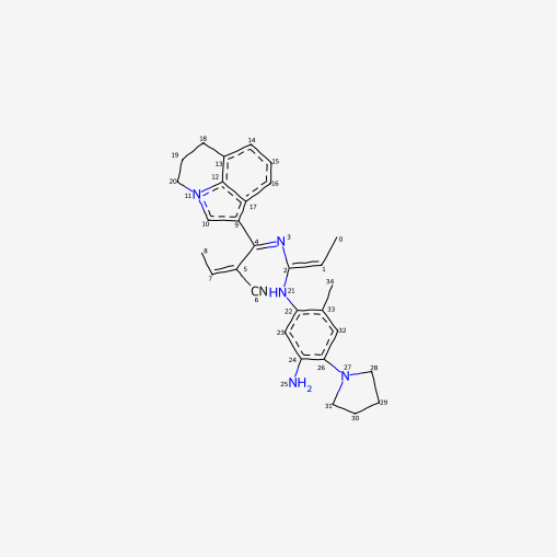 C\C=C(/N=C(\C(C#N)=C/C)c1cn2c3c(cccc13)CCC2)Nc1cc(N)c(N2CCCC2)cc1C